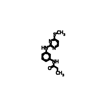 CCC(=O)Nc1cccc(Nc2nccc(SC)n2)c1